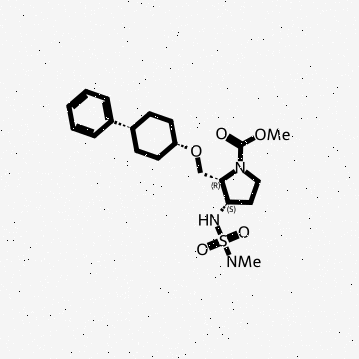 CNS(=O)(=O)N[C@H]1CCN(C(=O)OC)[C@H]1CO[C@H]1CC[C@@H](c2ccccc2)CC1